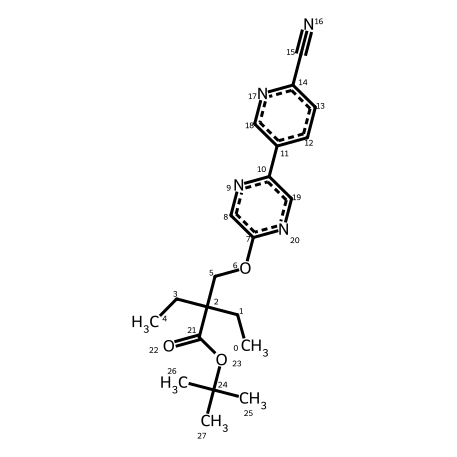 CCC(CC)(COc1cnc(-c2ccc(C#N)nc2)cn1)C(=O)OC(C)(C)C